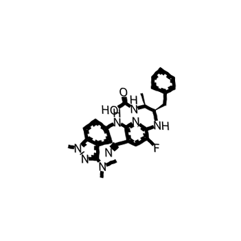 C[C@H](NC(=O)O)[C@@H](Cc1ccccc1)Nc1nc(Nc2ccc3c(c2)c(N(C)C)nn3C)c(C#N)cc1F